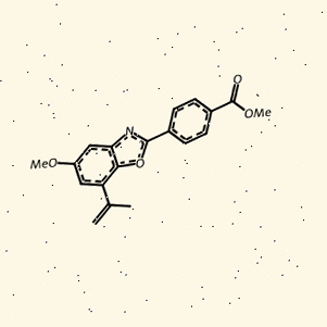 C=C(C)c1cc(OC)cc2nc(-c3ccc(C(=O)OC)cc3)oc12